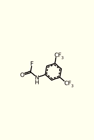 O=C(F)Nc1cc(C(F)(F)F)cc(C(F)(F)F)c1